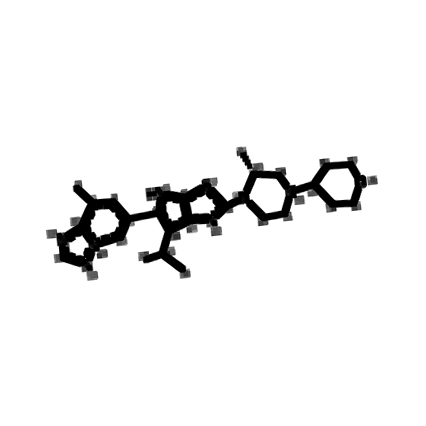 Cc1cc(-c2[nH]c3sc(N4CCN(C5CCOCC5)C[C@H]4C)nc3c2C(C)C)cn2ncnc12